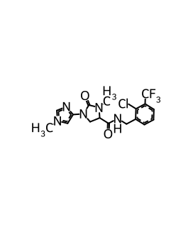 CN1C(=O)N(c2cn(C)cn2)CC1C(=O)NCc1cccc(C(F)(F)F)c1Cl